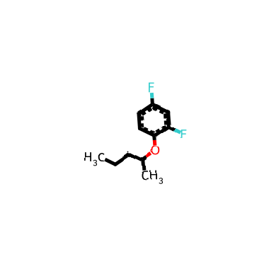 CC[CH]C(C)Oc1ccc(F)cc1F